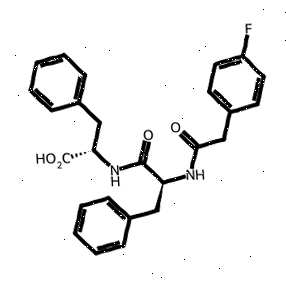 O=C(Cc1ccc(F)cc1)N[C@@H](Cc1ccccc1)C(=O)N[C@@H](Cc1ccccc1)C(=O)O